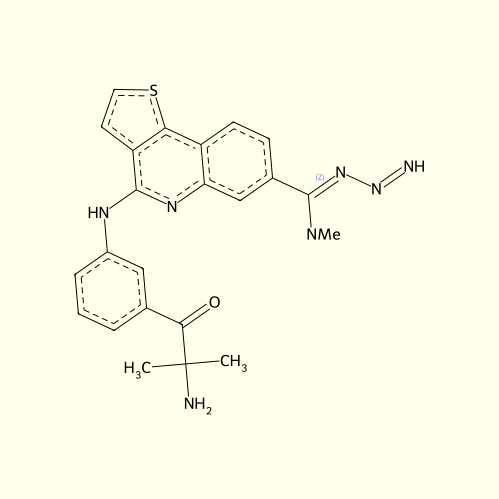 CN/C(=N\N=N)c1ccc2c(c1)nc(Nc1cccc(C(=O)C(C)(C)N)c1)c1ccsc12